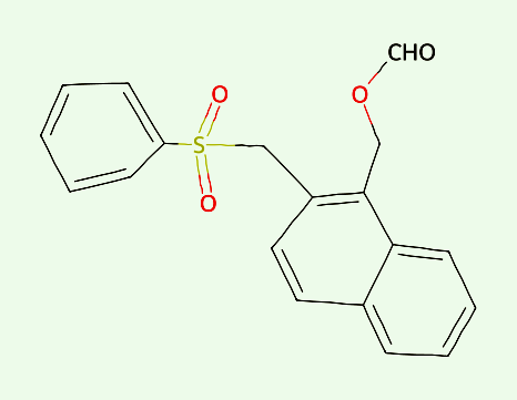 O=COCc1c(CS(=O)(=O)c2ccccc2)ccc2ccccc12